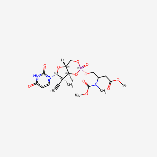 C#C[C@]1(C)[C@@H]2O[P@@](=O)(OCC(CC(=O)OC(C)C)N(C)C(=O)OC(C)(C)C)OC[C@H]2O[C@H]1n1ccc(=O)[nH]c1=O